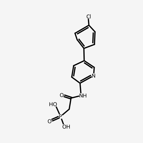 O=C(CP(=O)(O)O)Nc1ccc(-c2ccc(Cl)cc2)cn1